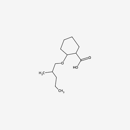 CCCC(C)COC1CCCCC1C(=O)O